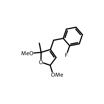 COC1C=C(Cc2ccccc2F)C(C)(OC)O1